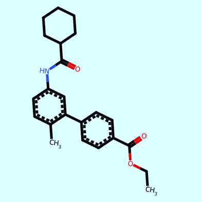 CCOC(=O)c1ccc(-c2cc(NC(=O)C3CCCCC3)ccc2C)cc1